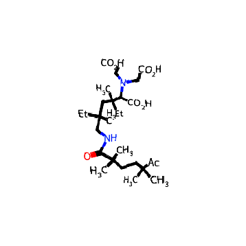 CCC(C)(CNC(=O)C(C)(C)CCC(C)(C)C(C)=O)CC(C)(CC)C(C(=O)O)N(CC(=O)O)CC(=O)O